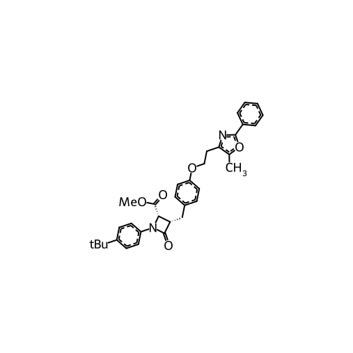 COC(=O)[C@@H]1[C@H](Cc2ccc(OCCc3nc(-c4ccccc4)oc3C)cc2)C(=O)N1c1ccc(C(C)(C)C)cc1